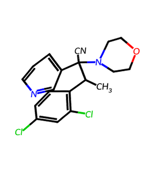 CC(c1ccc(Cl)cc1Cl)C(C#N)(c1cccnc1)N1CCOCC1